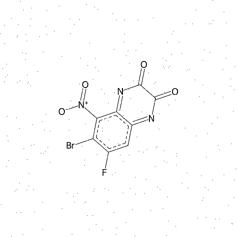 O=C1N=c2cc(F)c(Br)c([N+](=O)[O-])c2=NC1=O